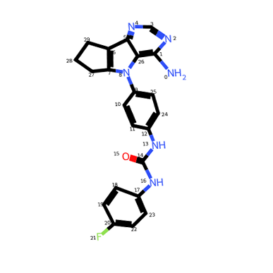 Nc1ncnc2c3c(n(-c4ccc(NC(=O)Nc5ccc(F)cc5)cc4)c12)CCC3